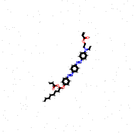 C=CC(=O)OCCN(CC)c1ccc(/N=N/c2ccc(/N=N/c3ccc(OC(CCCCCCC)OC(=O)CC)cc3)cc2)cc1